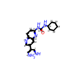 N=C/C(=C\N)c1cnc2ccc(NC(=O)NC3CCCCC3)nc2c1